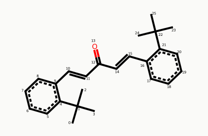 CC(C)(C)c1ccccc1C=CC(=O)C=Cc1ccccc1C(C)(C)C